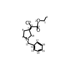 CCOC(=O)C(Cl)=C1CCN(Cc2ccccc2)C1